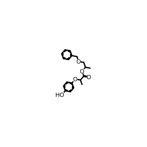 CC(COCc1ccccc1)OC(=O)C(C)Oc1ccc(O)cc1